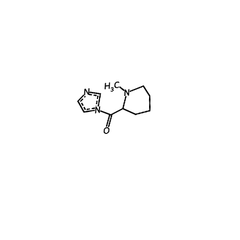 CN1CCCCC1C(=O)n1ccnc1